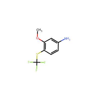 COc1cc(N)ccc1SC(F)(F)F